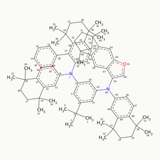 CC(C)(C)c1cc(N(c2ccc3c(c2)C(C)(C)CCC3(C)C)c2ccc3c(c2-c2ccccc2)C(C)(C)CCC3(C)C)cc(N(c2ccc3c(c2)C(C)(C)CCC3(C)C)c2coc3cc4c(cc23)C2(C)CCC4(C)C2)c1